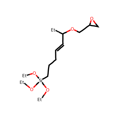 CCO[Si](CCCC=CC(CC)OCC1CO1)(OCC)OCC